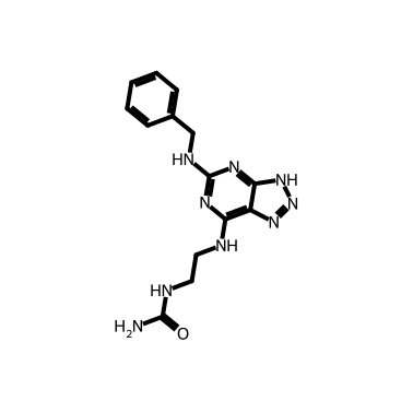 NC(=O)NCCNc1nc(NCc2ccccc2)nc2[nH]nnc12